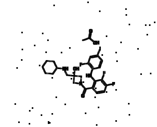 CC(=O)O.O=C(c1ccc(F)c(F)c1Nc1ccc(I)cc1F)N1CC(O)(CNC2CCCCC2)C1